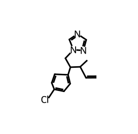 C=CC(C)C(Cn1cncn1)c1ccc(Cl)cc1